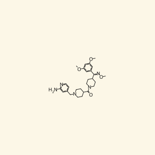 CON=C(c1cc(OC)cc(OC)c1)C1CCN(C(=O)C2CCN(Cc3ccnc(N)c3)CC2)CC1